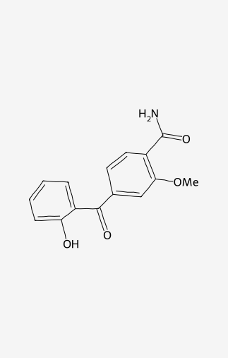 COc1cc(C(=O)c2ccccc2O)ccc1C(N)=O